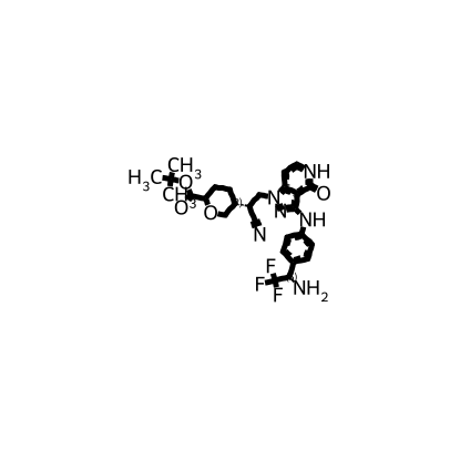 CC(C)(C)OC(=O)C1CC[C@H](C(C#N)Cn2nc(Nc3ccc([C@H](N)C(F)(F)F)cc3)c3c(=O)[nH]ccc32)CO1